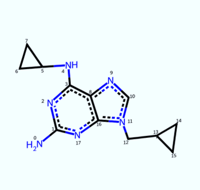 Nc1nc(NC2CC2)c2ncn(C[C]3CC3)c2n1